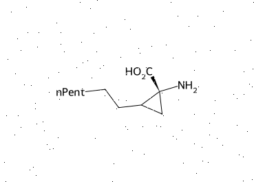 CCCCCCCC1C[C@]1(N)C(=O)O